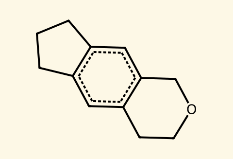 c1c2c(cc3c1CCOC3)CCC2